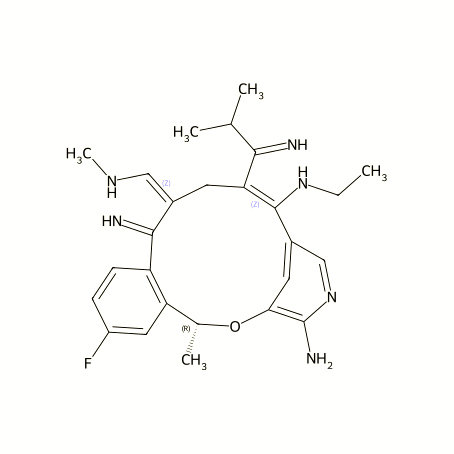 CCN/C1=C(\C(=N)C(C)C)C/C(=C/NC)C(=N)c2ccc(F)cc2[C@@H](C)Oc2cc1cnc2N